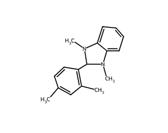 Cc1ccc(C2N(C)c3ccccc3N2C)c(C)c1